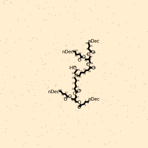 CCCCCCCCCCCCCC(=O)OCC(COC(=O)CCCCCCCCCCCCC)COC(=O)CCCCCN(CCO)CCCCCC(=O)OCC(COC(=O)CCCCCCCCCCCCC)COC(=O)CCCCCCCCCCCCC